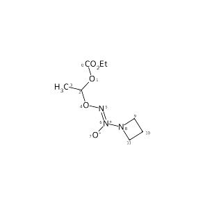 CCOC(=O)OC(C)ON=[N+]([O-])N1CCC1